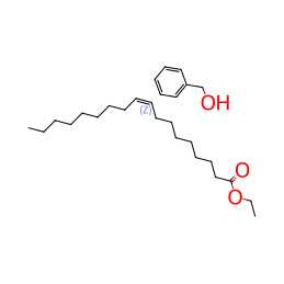 CCCCCCCC/C=C\CCCCCCCC(=O)OCC.OCc1ccccc1